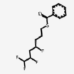 O=C(SCCCC(F)CC(F)C(F)F)c1ccccc1